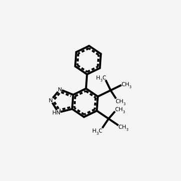 CC(C)(C)c1cc2[nH]nnc2c(-c2ccccc2)c1C(C)(C)C